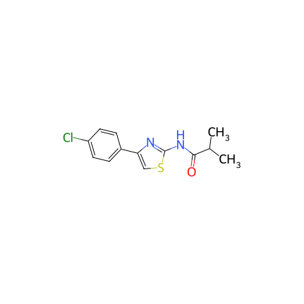 CC(C)C(=O)Nc1nc(-c2ccc(Cl)cc2)cs1